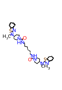 CN(c1nc2ccccc2s1)C1CCN(C(=O)NCCCCCCNC(=O)N2CCC(N(C)c3nc4ccccc4s3)CC2)CC1